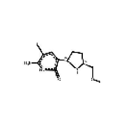 COC[C@@H]1CC[C@H](c2cc(I)c(N)[nH]c2=O)N1